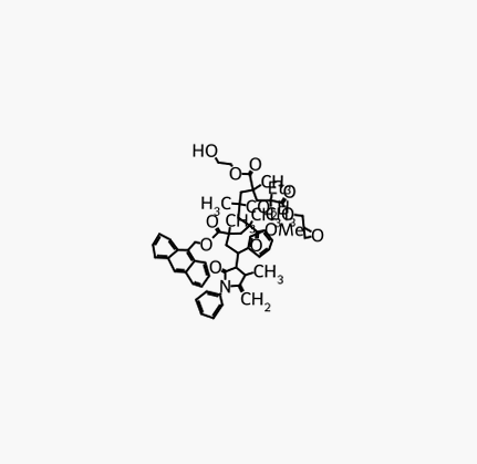 C=C1C(C)C(C(CC(C)(CC(C)(CC(C)(CC(C)(CC(C)(CC)C(=O)OCC2CO2)C(=O)OCCO)C(=O)O)C(=O)OC)C(=O)OCc2c3ccccc3cc3ccccc23)c2ccccc2)C(=O)N1c1ccccc1